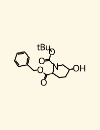 CC(C)(C)OC(=O)N1C[C@@H](O)CC[C@H]1C(=O)OCc1ccccc1